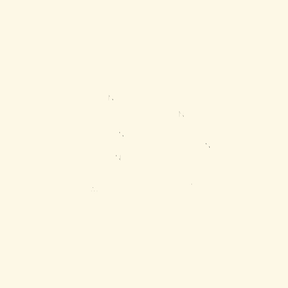 CC(=O)c1ccc2ncc(-c3cc(Cl)ncn3)n2n1